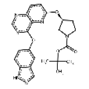 CC(C)(C)OC(=O)N1CC[C@H](Oc2ccc3ncnc(Oc4ccc5[nH]ncc5c4)c3n2)C1